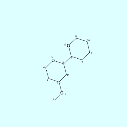 CO[C]1CCOC(C2CCCCO2)C1